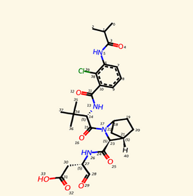 CC(C)C(=O)Nc1cccc(C(=O)N[C@H](C(=O)N2C3CC[C@@H](C3)[C@H]2C(=O)N[C@H](C=O)CC(=O)O)C(C)(C)C)c1Cl